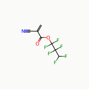 C=C(C#N)C(=O)OC(F)(F)C(F)(F)C(F)F